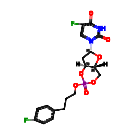 O=c1[nH]c(=O)n([C@H]2C[C@@H]3OP(=O)(OCCCc4ccc(F)cc4)OC[C@H]3O2)cc1F